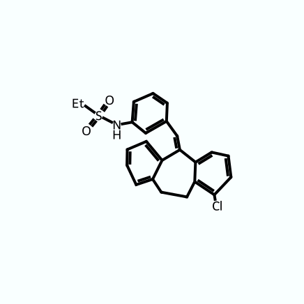 CCS(=O)(=O)Nc1cccc(/C=C2\c3ccccc3CCc3c(Cl)cccc32)c1